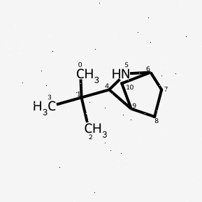 CC(C)(C)C1NC2CCC1C2